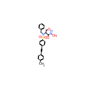 Cc1ccc(C#Cc2ccc(S(=O)(=O)N(Cc3ccccc3)[C@@H]([C]=O)C(=O)NO)cc2)cc1